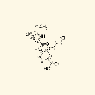 CCCCO[C@H]1CN(C(=O)O)CC[C@H]1NC(=O)c1nc(Cl)c(CC)[nH]1